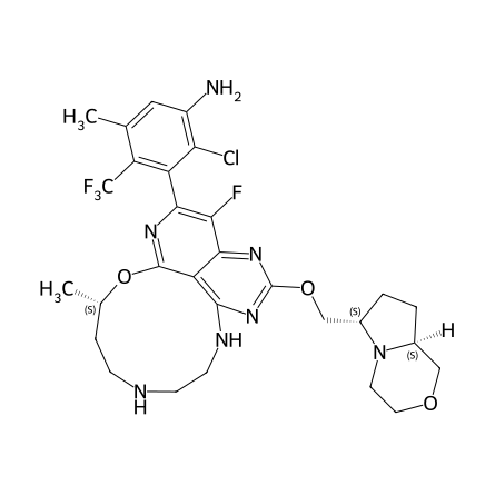 Cc1cc(N)c(Cl)c(-c2nc3c4c(nc(OC[C@@H]5CC[C@H]6COCCN65)nc4c2F)NCCNCC[C@H](C)O3)c1C(F)(F)F